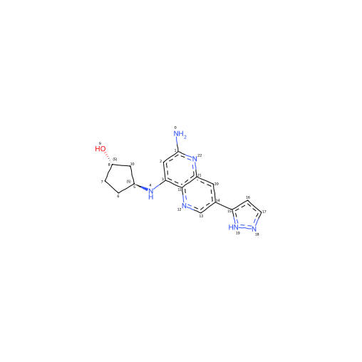 Nc1cc(N[C@H]2CC[C@H](O)C2)c2ncc(-c3ccn[nH]3)cc2n1